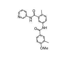 COc1ccc(C(=O)Nc2ccc(C)c(C(=O)Nc3cccnc3)c2)cc1C